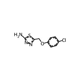 Nc1nnc(COc2ccc(Cl)cc2)s1